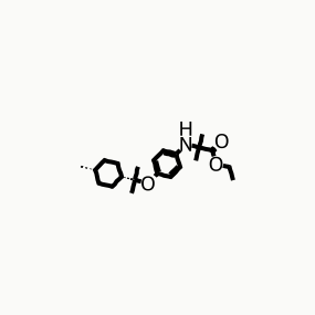 CCOC(=O)C(C)(C)Nc1ccc(OC(C)(C)[C@H]2CC[C@@H](C)CC2)cc1